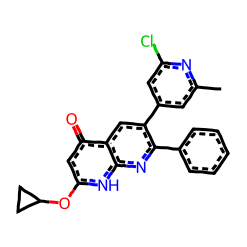 Cc1cc(-c2cc3c(=O)cc(OC4CC4)[nH]c3nc2-c2ccccc2)cc(Cl)n1